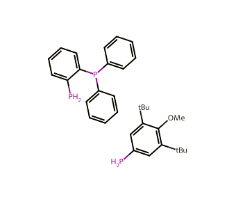 COc1c(C(C)(C)C)cc(P)cc1C(C)(C)C.Pc1ccccc1P(c1ccccc1)c1ccccc1